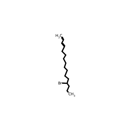 C=CC=CCCCCCCCCC(Br)CCC